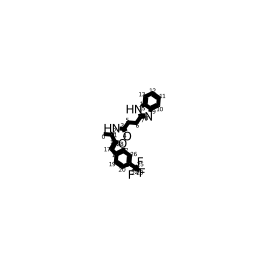 CC(NC(=O)CCc1nc2ccccc2[nH]1)c1cc2ccc(C(F)(F)F)cc2o1